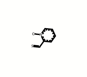 [O-][n+]1ccccc1[C]=S